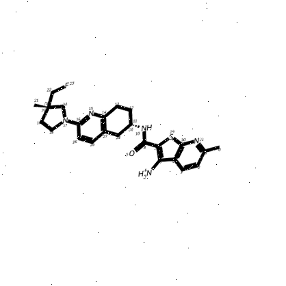 Cc1ccc2c(N)c(C(=O)N[C@H]3CCc4nc(N5CC[C@](C)(CF)C5)ccc4C3)sc2n1